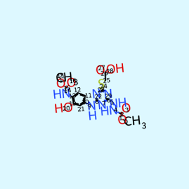 COC(=O)NNc1nc(Nc2ccc(NC(=O)OC)c(O)c2)nc(SCC(=O)O)n1